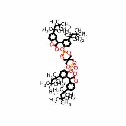 CC(C)(C)CC(C)(C)c1ccc2c(c1)C(c1cc(C(C)(C)CC(C)(C)C)ccc1OP1OCC3(CO1)COP(=O)(Oc1ccc(C(C)(C)CC(C)(C)C)cc1C1C(=O)Oc4ccc(C(C)(C)CC(C)(C)C)cc41)OC3)C(=O)O2